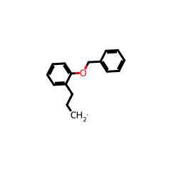 [CH2]CCc1ccccc1OCc1ccccc1